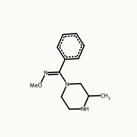 CON=C(c1ccccc1)N1CCNC(C)C1